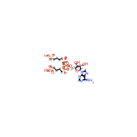 Nc1ncnc2c1ncn2[C@@H]1O[C@H](COP(=O)(OS(=O)(=O)CCCCS(=O)(=O)O)OS(=O)(=O)CCCCS(=O)(=O)O)[C@@H](O)[C@H]1O